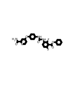 NC(=O)c1cc(Oc2ccc(NC(=O)Nc3ccc(F)c(C(=O)Oc4ccccc4)c3F)cc2)ccn1